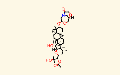 CC(=O)O[C@@H]([C@H]1C[C@@H](C)[C@H]2[C@H](O1)[C@H](O)[C@@]1(C)[C@@H]3CC[C@H]4C(C)(C)[C@@H](O[C@H]5CN6C[C@@H](CO5)OCC6=O)CC[C@@]45C[C@@]35CC[C@]21C)C(C)(C)O